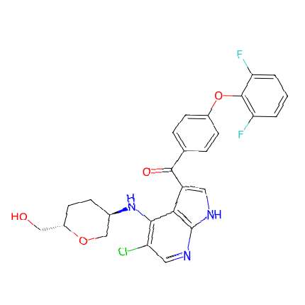 O=C(c1ccc(Oc2c(F)cccc2F)cc1)c1c[nH]c2ncc(Cl)c(N[C@@H]3CC[C@@H](CO)OC3)c12